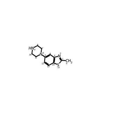 Cc1nc2cc(N3CCNCC3)ccc2s1